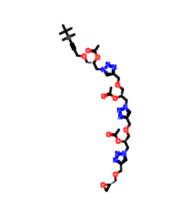 CC(=O)O[C@@H](COCC#C[Si](C)(C)C(C)(C)C)Cn1cc(COC[C@@H](Cn2cc(COC[C@@H](Cn3cc(COC[C@@H]4CO4)nn3)OC(C)=O)nn2)OC(C)=O)nn1